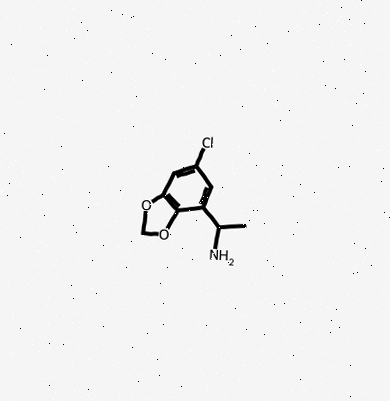 CC(N)c1cc(Cl)cc2c1OCO2